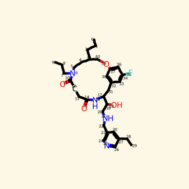 CCCC1CCN(CCC)C(=O)CCC(=O)NC(C(O)CNCc2cncc(CC)c2)Cc2cc(F)cc(c2)OC1